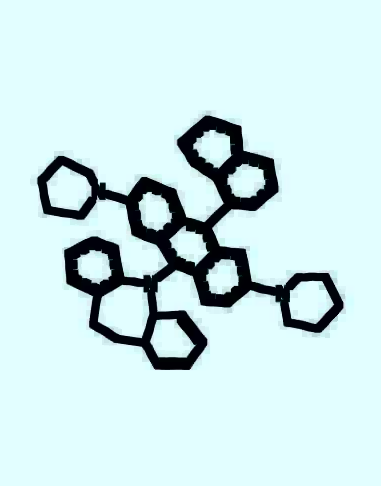 C1=CC2CCc3ccccc3N(c3c4ccc(N5CCCCC5)cc4c(-c4cccc5ccccc45)c4ccc(N5CCCCC5)cc34)C2C=C1